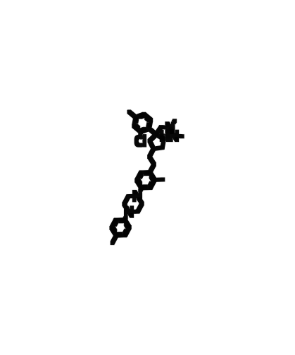 CNN(C)CC1(c2ccc(C)cc2Cl)CCC(CCc2ccc(N3CCN(c4ccc(C)cc4)CC3)cc2C)C1